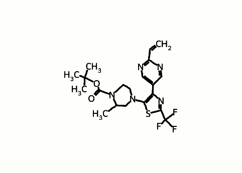 C=Cc1ncc(-c2nc(C(F)(F)F)sc2N2CCN(C(=O)OC(C)(C)C)C(C)C2)cn1